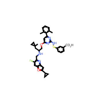 Cc1cccc(C)c1-c1cc(OCC(CC2(C)CC2)NCc2nc3cc(C4CC4)oc3cc2F)nc(NSc2cccc(C(=O)O)c2)n1